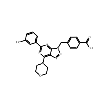 O=C(O)c1ccc(Cn2nnc3c(N4CCOCC4)nc(-c4cccc(O)c4)nc32)cc1